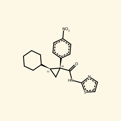 O=C(Nc1nccs1)[C@]1(c2ccc([N+](=O)[O-])cc2)C[C@H]1C1CCCCC1